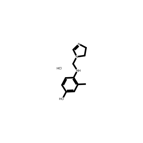 Cc1cc(O)ccc1NCN1C=NCC1.Cl